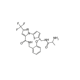 COc1ccccc1CNC(=O)c1cc(C(F)(F)F)nn1-c1ccc(CNC(=O)C(C)N)s1